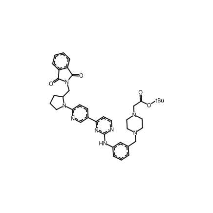 CC(C)(C)OC(=O)CN1CCN(Cc2cccc(Nc3nccc(-c4ccc(N5CCCC5CN5C(=O)c6ccccc6C5=O)nc4)n3)c2)CC1